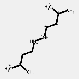 CC(C)CCNNCCC(C)C